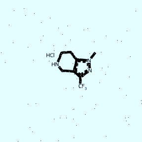 Cl.Cn1nc(C(F)(F)F)c2c1CCNC2